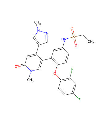 CCS(=O)(=O)Nc1ccc(Oc2ccc(F)cc2F)c(-c2cn(C)c(=O)cc2-c2cnn(C)c2)c1